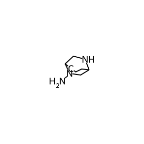 NN1CC2CCCC1CN2